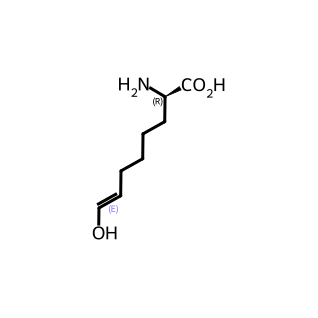 N[C@H](CCCC/C=C/O)C(=O)O